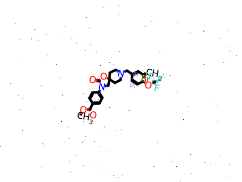 C=C(Br)/C=C(\C=C/COC(F)(F)F)CN1CCC2(CC1)CN(c1ccc(C(=O)OC)cc1)C(=O)O2